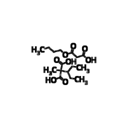 CCC(CC)C(C)(C(=O)O)C(=O)O.CCCCOC(=O)CC(=O)O